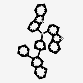 c1ccc(-c2cc3ccccc3cc2-c2ccc(N(c3cccc4c3sc3ccccc34)c3cccc4oc5ccccc5c34)cc2)cc1